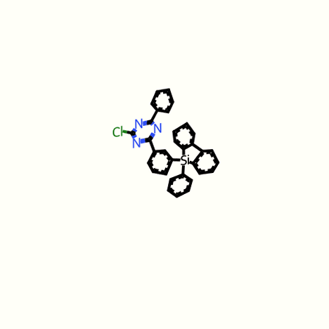 Clc1nc(-c2ccccc2)nc(-c2cccc([Si]3(c4ccccc4)c4ccccc4-c4ccccc43)c2)n1